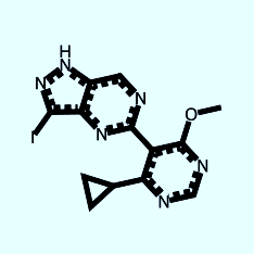 COc1ncnc(C2CC2)c1-c1ncc2[nH]nc(I)c2n1